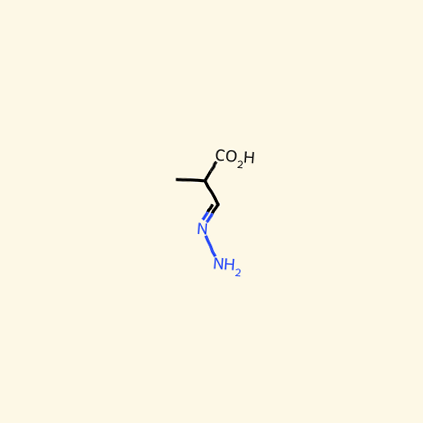 CC(C=NN)C(=O)O